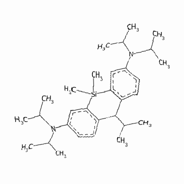 CC(C)C1c2ccc(N(C(C)C)C(C)C)cc2[Si](C)(C)c2cc(N(C(C)C)C(C)C)ccc21